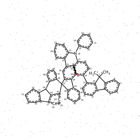 CC1(C)c2ccccc2-c2cccc(-c3ccc(N(c4ccccc4)c4ccccc4-c4ccc5c(c4)C4(c6ccccc6-5)c5ccccc5C5c6ccccc6-c6cccc4c65)cc3)c21